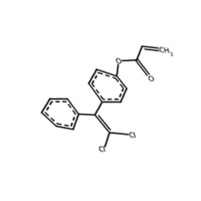 C=CC(=O)Oc1ccc(C(=C(Cl)Cl)c2ccccc2)cc1